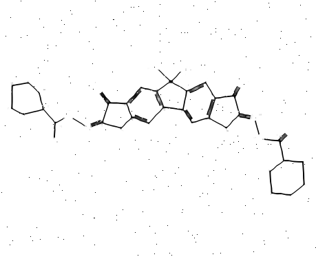 CCCCC1(CCCC)c2cc3c(cc2-c2cc4c(cc21)C(=O)/C(=N/OC(=O)C1CCCCC1)C4)C/C(=N/OC(O)C1CCCCC1)C3=O